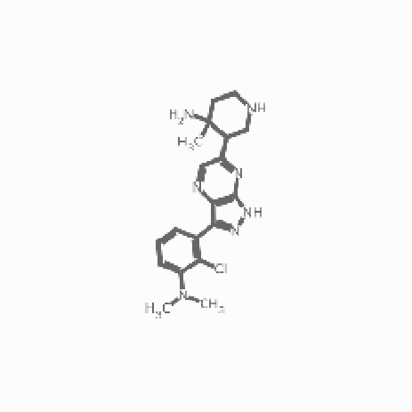 CN(C)c1cccc(-c2n[nH]c3nc(C4CNCCC4(C)N)cnc23)c1Cl